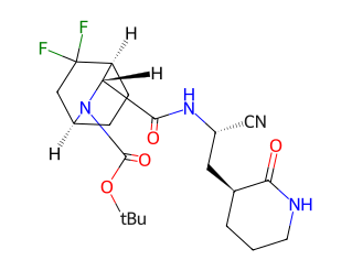 CC(C)(C)OC(=O)N1[C@H]2CC[C@@H]([C@@H]1C(=O)N[C@H](C#N)C[C@@H]1CCCNC1=O)C(F)(F)C2